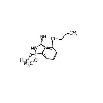 CCCOc1cccc2c1C(=N)NC2(OC)OC